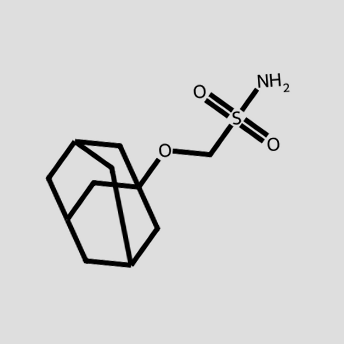 NS(=O)(=O)COC12CC3CC(CC(C3)C1)C2